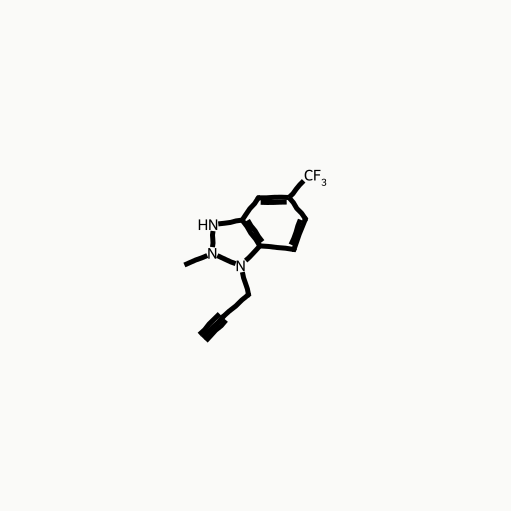 C#CCN1c2ccc(C(F)(F)F)cc2NN1C